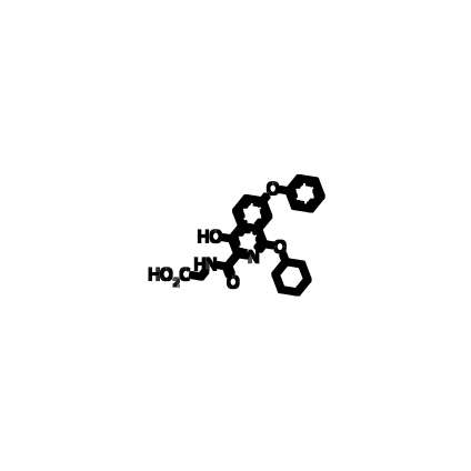 O=C(O)CNC(=O)c1nc(OC2CCCCC2)c2cc(Oc3ccccc3)ccc2c1O